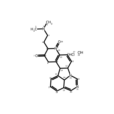 CN(C)CCC1C(=O)CC2=C(C=CC3C2C2=CC=CC4=CN=CN3C42)[N+]1=O.Cl.Cl